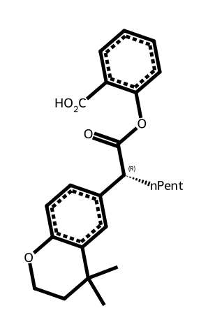 CCCCC[C@@H](C(=O)Oc1ccccc1C(=O)O)c1ccc2c(c1)C(C)(C)CCO2